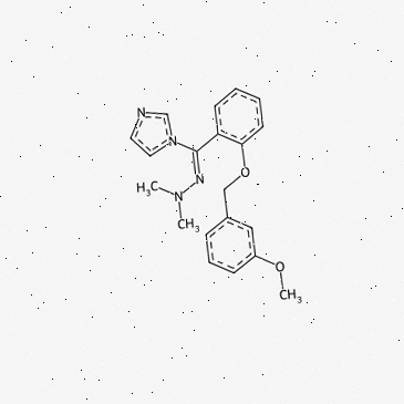 COc1cccc(COc2ccccc2C(=NN(C)C)n2ccnc2)c1